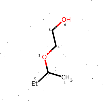 C[CH]C(C)OCCO